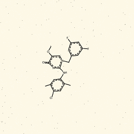 COc1cn(Cc2cc(F)cc(F)c2)c(Nc2cc(C)c(Cl)cc2C)nc1=O